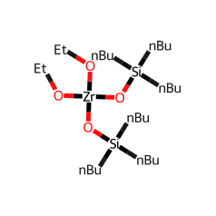 CCCC[Si](CCCC)(CCCC)[O][Zr]([O]CC)([O]CC)[O][Si](CCCC)(CCCC)CCCC